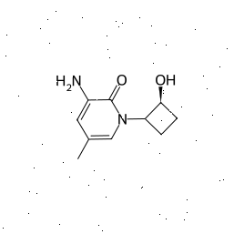 Cc1cc(N)c(=O)n(C2CC[C@@H]2O)c1